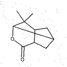 CC1(C)C2CC3CC2C(=O)OC31